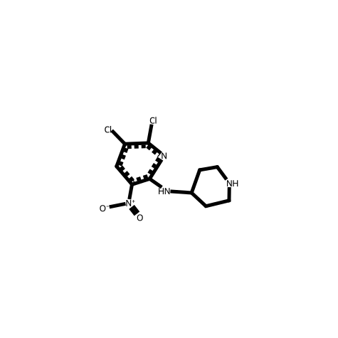 O=[N+]([O-])c1cc(Cl)c(Cl)nc1NC1CCNCC1